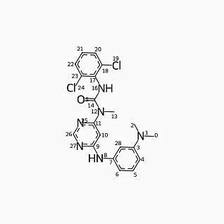 CN(C)c1cccc(Nc2cc(N(C)C(=O)Nc3c(Cl)cccc3Cl)ncn2)c1